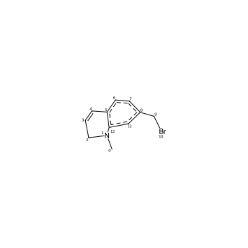 CN1CC=Cc2ccc(CBr)cc21